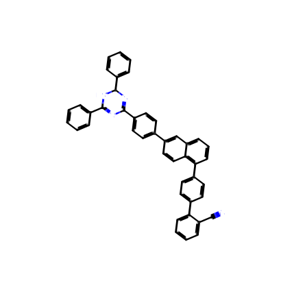 N#Cc1ccccc1-c1ccc(-c2cccc3cc(-c4ccc(C5=NC(c6ccccc6)NC(c6ccccc6)=N5)cc4)ccc23)cc1